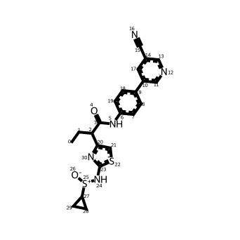 CCC(C(=O)Nc1ccc(-c2cncc(C#N)c2)cc1)c1csc(N[S+]([O-])C2CC2)n1